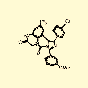 COc1cccc(C2=NC(c3ccc(Cl)cc3)C3c4cc(C(F)(F)F)cc5c4N(CC(=O)N5)C(=O)N23)c1